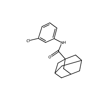 O=C(Nc1cccc(Cl)c1)C12CC3CC(CC(C3)C1)C2